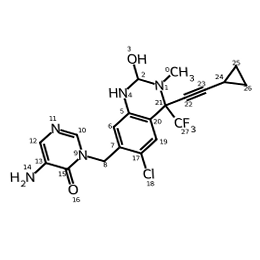 CN1C(O)Nc2cc(Cn3cncc(N)c3=O)c(Cl)cc2C1(C#CC1CC1)C(F)(F)F